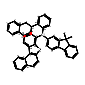 CC1(C)c2ccccc2-c2ccc(N(c3ccccc3C3C=Cc4ccccc4C3)c3cccc4c3oc3ccc5ccccc5c34)cc21